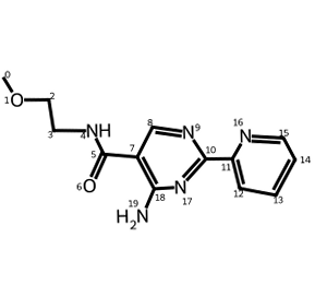 COCCNC(=O)c1cnc(-c2ccccn2)nc1N